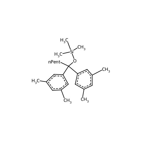 CCCCCC(O[Si](C)(C)C)(c1cc(C)cc(C)c1)c1cc(C)cc(C)c1